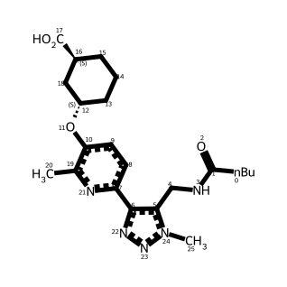 CCCCC(=O)NCc1c(-c2ccc(O[C@H]3CCC[C@H](C(=O)O)C3)c(C)n2)nnn1C